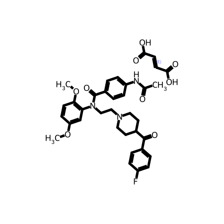 COc1ccc(OC)c(N(CCN2CCC(C(=O)c3ccc(F)cc3)CC2)C(=O)c2ccc(NC(C)=O)cc2)c1.O=C(O)/C=C/C(=O)O